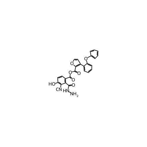 N#Cc1c(O)ccc(C(=O)OC(=O)c2occc2-c2ccccc2Oc2ccccc2)c1C(=O)NN